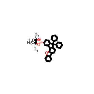 CC1(C)OB(c2ccc3c(c2)-c2c(ccc4c2oc2ccccc24)C3(c2ccccc2)c2ccccc2)OC1(C)C